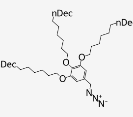 CCCCCCCCCCCCCCCCOc1cc(CN=[N+]=[N-])cc(OCCCCCCCCCCCCCCCC)c1OCCCCCCCCCCCCCCCC